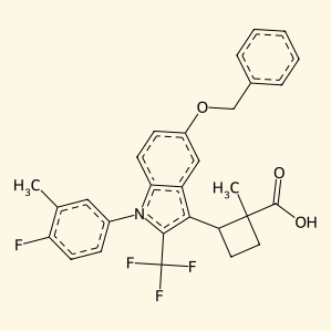 Cc1cc(-n2c(C(F)(F)F)c(C3CCC3(C)C(=O)O)c3cc(OCc4ccccc4)ccc32)ccc1F